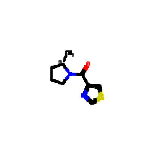 C[C@H]1CCCN1C(=O)c1cscn1